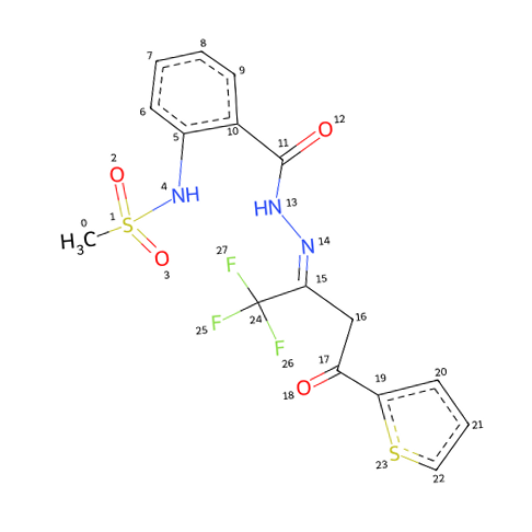 CS(=O)(=O)Nc1ccccc1C(=O)NN=C(CC(=O)c1cccs1)C(F)(F)F